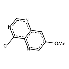 COc1cnc2c(Cl)ncnc2c1